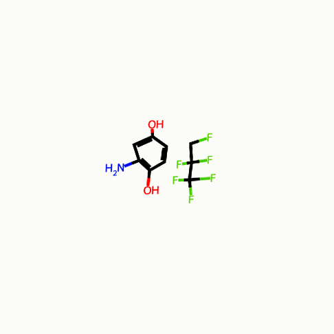 FCC(F)(F)C(F)(F)F.Nc1cc(O)ccc1O